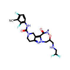 CN1OC(CNCC(F)F)Cn2nc3c(c2C1=O)CN(C(=O)Nc1ccc(F)c(C#N)c1F)CC3